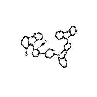 N#Cc1c(-c2ccc(-n3c4ccccc4c4ccc(-n5c6ccccc6c6ccccc65)cc43)cc2)cccc1-n1c2ccccc2c2cccc(C#N)c21